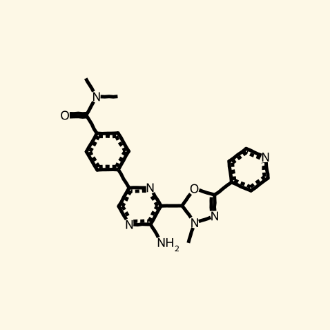 CN(C)C(=O)c1ccc(-c2cnc(N)c(C3OC(c4ccncc4)=NN3C)n2)cc1